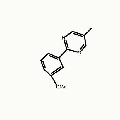 COc1cccc(-c2ncc(C)cn2)c1